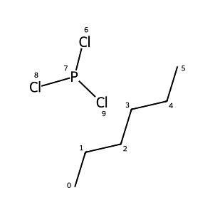 CCCCCC.ClP(Cl)Cl